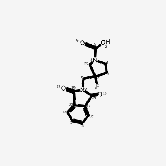 O=C(O)N1CCC(F)(CN2C(=O)c3ccccc3C2=O)C1